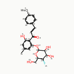 COc1ccc(C=CC(=O)c2c(O)cc(C)cc2OC2OC(CO)C(F)C(O)C2O)cc1